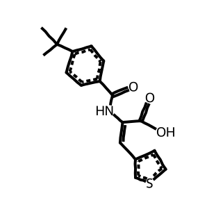 CC(C)(C)c1ccc(C(=O)NC(=Cc2ccsc2)C(=O)O)cc1